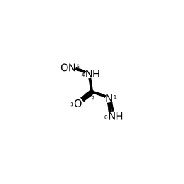 N=NC(=O)NN=O